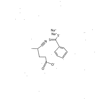 CC(C#N)CCC(=O)[O-].S=C([S-])c1ccccc1.[Na+].[Na+]